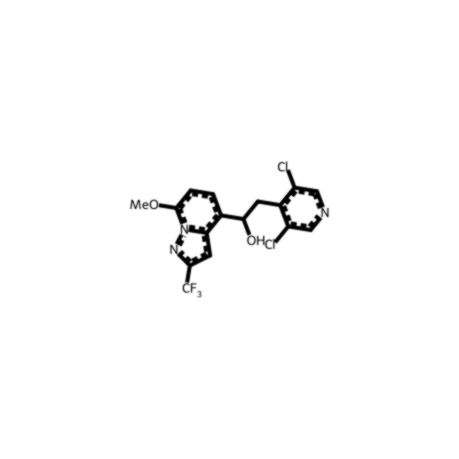 COc1ccc(C(O)Cc2c(Cl)cncc2Cl)c2cc(C(F)(F)F)nn12